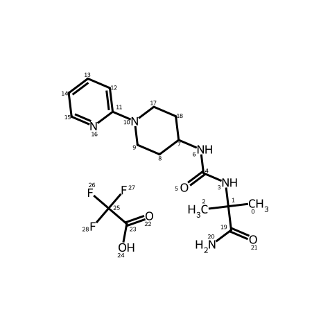 CC(C)(NC(=O)NC1CCN(c2ccccn2)CC1)C(N)=O.O=C(O)C(F)(F)F